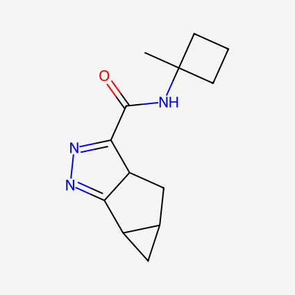 CC1(NC(=O)C2=NN=C3C2CC2CC32)CCC1